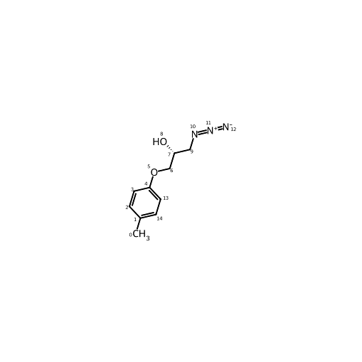 Cc1ccc(OC[C@H](O)CN=[N+]=[N-])cc1